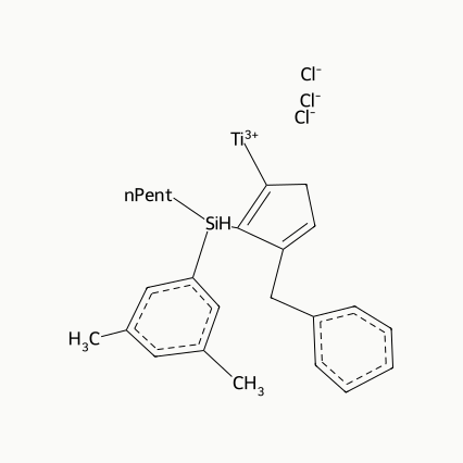 CCCCC[SiH](C1=[C]([Ti+3])CC=C1Cc1ccccc1)c1cc(C)cc(C)c1.[Cl-].[Cl-].[Cl-]